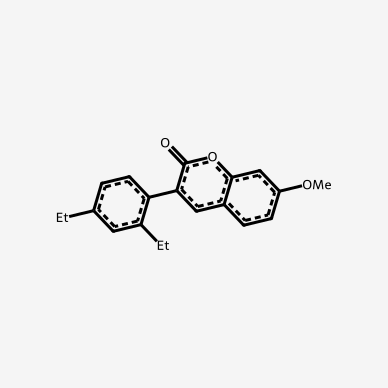 CCc1ccc(-c2cc3ccc(OC)cc3oc2=O)c(CC)c1